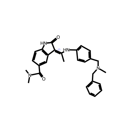 C/C(Nc1ccc(CN(C)Cc2ccccc2)cc1)=C1/C(=O)Nc2ccc(C(=O)N(C)C)cc21